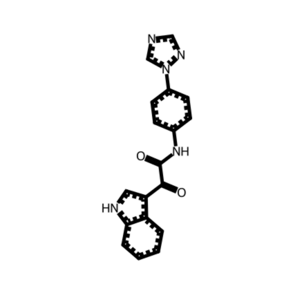 O=C(Nc1ccc(-n2cncn2)cc1)C(=O)c1c[nH]c2ccccc12